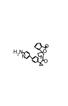 Nc1ccc(-c2ccc(C3(C(=O)N4CCC5(C4)OC(=O)c4ccccc45)CC3)cc2)cn1